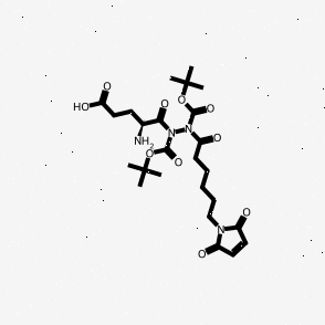 CC(C)(C)OC(=O)N(C(=O)CCCCCN1C(=O)C=CC1=O)N(C(=O)OC(C)(C)C)C(=O)[C@@H](N)CCC(=O)O